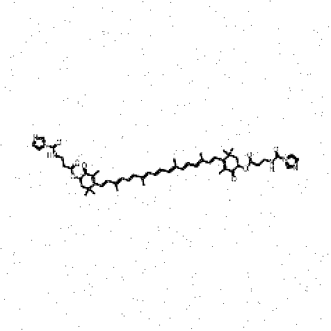 CC1=C(/C=C/C(C)=C/C=C/C(C)=C/C=C/C=C(C)/C=C/C=C(C)/C=C/C2=C(C)C(=O)C(OC(=O)CCNC(=O)n3ccnc3)CC2(C)C)C(C)(C)CC(OC(=O)CCNC(=O)n2ccnc2)C1=O